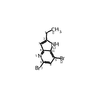 CCc1cc2nc(Br)cc(Br)c2[nH]1